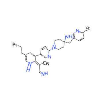 CCc1ccc(CC2(N)CCN(c3ccc(C4=CC(CCC(C)C)=CN/C4=C(/C#N)C=N)cn3)CC2)cn1